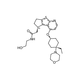 CC[C@]1(N2CCOCC2)CC[C@H](Oc2ccnc3sc4c(c23)[C@@H](CC(=O)NCCO)CC4)CC1